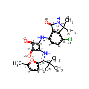 Cc1ccc([C@H](Nc2c(Nc3ccc(Cl)c4c3C(=O)NC4(C)C)c(=O)c2=O)C(C)(C)C)o1